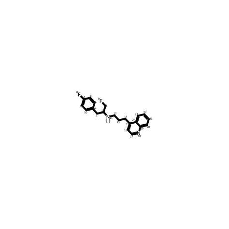 FCC(Cc1ccc(F)cc1)NCCCc1ccnc2ccccc12